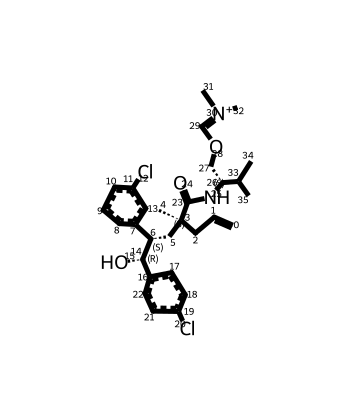 C=CC[C@@](C)(C[C@@H](c1cccc(Cl)c1)[C@@H](O)c1ccc(Cl)cc1)C(=O)N[C@H](COC=[N+](C)C)C(C)C